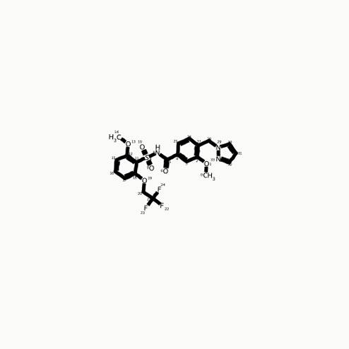 COc1cc(C(=O)NS(=O)(=O)c2c(OC)cccc2OCC(F)(F)F)ccc1Cn1cccn1